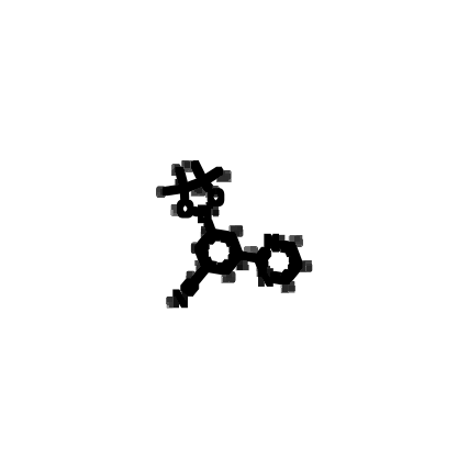 CC1(C)OB(c2cc(C#N)cc(-c3ncccn3)c2)OC1(C)C